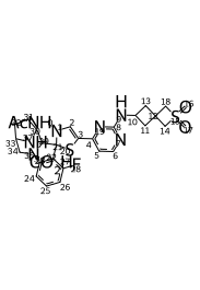 CC(=O)NN1C=C(c2ccnc(NC3CC4(C3)CS(=O)(=O)C4)n2)SC1(c1ccccc1F)C1C2CCC(CN1C(=O)O)N2